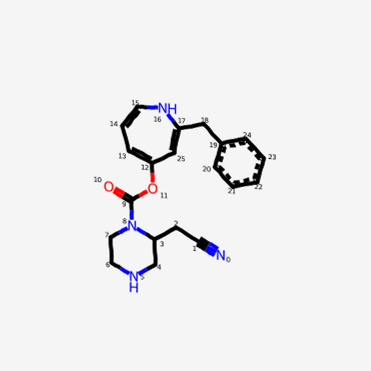 N#CCC1CNCCN1C(=O)OC1=CC=CNC(Cc2ccccc2)=C1